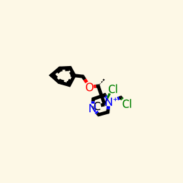 C[C@@H](OCc1ccccc1)[C@@]1(Cl)CN2CC[N+]1(CCl)CC2